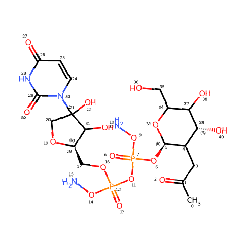 CC(=O)CC1[C@@H](OP(=O)(ON)OP(=O)(ON)OC[C@H]2OCC(O)(n3ccc(=O)[nH]c3=O)C2O)OC(CO)C(O)[C@@H]1O